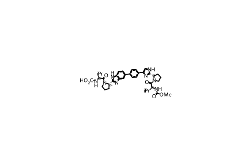 COC(=O)N[C@H](C(=O)N1CCC[C@H]1c1nc(-c2ccc(-c3ccc4[nH]c([C@@H]5CCCN5C(=O)[C@@H](NC(=O)O)C(C)C)nc4c3)cc2)c[nH]1)C(C)C